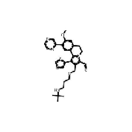 COc1cc2c(cc1-c1cnccn1)-c1c(-c3cncs3)c(COCCCNC(C)(C)C)c(C=O)n1CC2